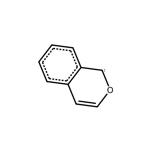 [C]1OC=Cc2ccccc21